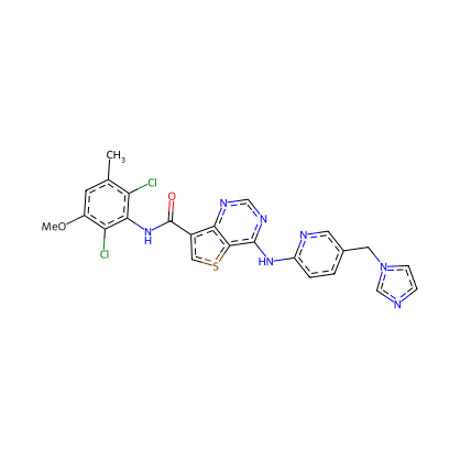 COc1cc(C)c(Cl)c(NC(=O)c2csc3c(Nc4ccc(Cn5ccnc5)cn4)ncnc23)c1Cl